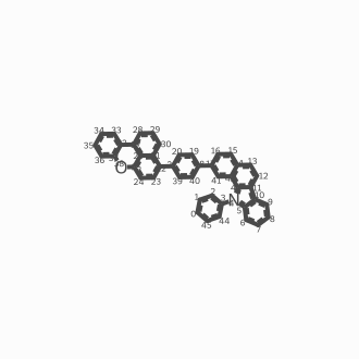 c1ccc(-n2c3ccccc3c3ccc4ccc(-c5ccc(-c6ccc7c8c(cccc68)-c6ccccc6O7)cc5)cc4c32)cc1